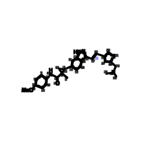 COc1ccc(NC(=O)[C@]2(C)C[C@H]2c2ccc3c(/C=C/c4csc(CN(C)C)c4)n[nH]c3c2)cc1